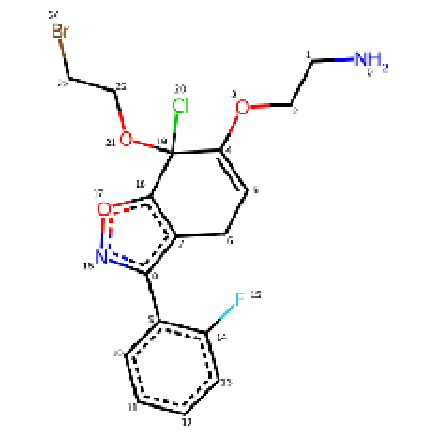 NCCOC1=CCc2c(-c3ccccc3F)noc2C1(Cl)OCCBr